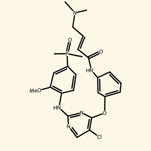 COc1cc(P(C)(C)=O)ccc1Nc1ncc(Cl)c(Oc2cccc(NC(=O)C=CCN(C)C)c2)n1